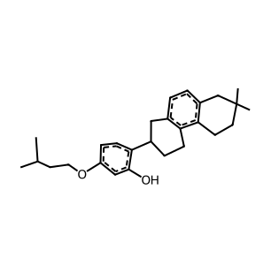 CC(C)CCOc1ccc(C2CCc3c(ccc4c3CCC(C)(C)C4)C2)c(O)c1